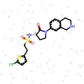 O=C1[C@@H](NS(=O)(=O)CCc2ccc(Cl)s2)CCN1c1ccc2c(c1)CNCC2